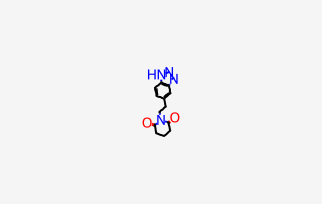 O=C1CCCC(=O)N1CCc1ccc2[nH]nnc2c1